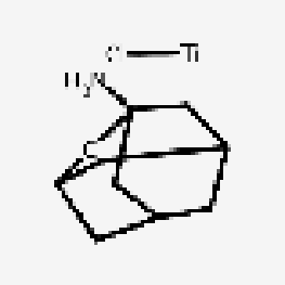 NC12CC3CC(CC(C3)C1)C2.[Cl][Ti]